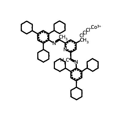 CC(=Nc1c(C2CCCCC2)cc(C2CCCCC2)cc1C1CCCCC1)c1cc(C)cc(C(C)=Nc2c(C3CCCCC3)cc(C3CCCCC3)cc2C2CCCCC2)n1.[Cl-].[Cl-].[Cl-].[Co+3]